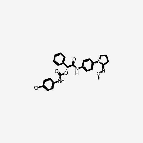 CO/N=C1/CCCN1c1ccc(NC(=O)[C@H](OC(=O)Nc2ccc(Cl)cc2)c2ccccc2)cc1